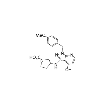 COc1ccc(Cn2nc(NC3CCN(C(=O)O)C3)c3c(O)ccnc32)cc1